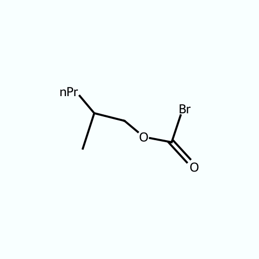 CCCC(C)COC(=O)Br